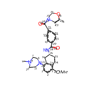 COc1ccc(N2CCN(C)CC2)c2c1CC[C@@H](NC(=O)c1ccc(C(=O)N3CCOCC3)cc1)C2